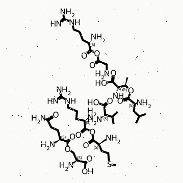 CC(C)C[C@H](N)C(=O)O[C@H](C)[C@H](N)C(=O)O.CC(C)[C@H](N)C(=O)O.CSCC[C@H](N)C(=O)OC(=O)[C@@H](N)CCCNC(=N)N.N=C(N)NCCC[C@H](N)C(=O)OC(=O)CN.NC(=O)CC[C@H](N)C(=O)OC[C@H](N)C(=O)O